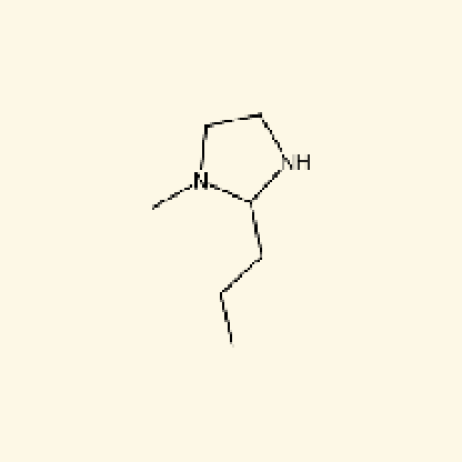 CCCC1NCCN1C